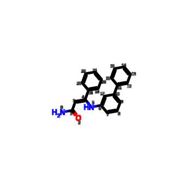 NC(=O)/C=C(\Nc1cccc(-c2ccccc2)c1)c1ccccc1